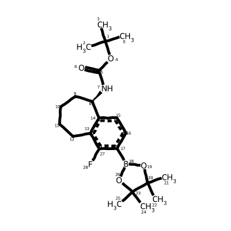 CC(C)(C)OC(=O)N[C@@H]1CCCCc2c1ccc(B1OC(C)(C)C(C)(C)O1)c2F